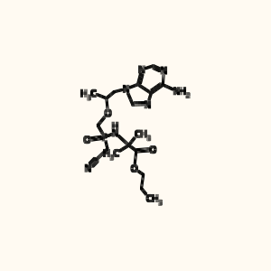 CCCOC(=O)C(C)(C)NP(=O)(CC#N)COC(C)Cn1cnc2c(N)ncnc21